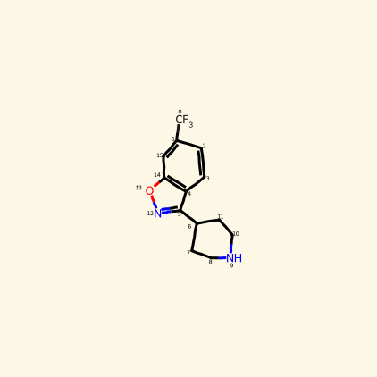 FC(F)(F)c1ccc2c(C3CCNCC3)noc2c1